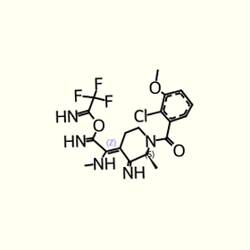 CN/C(C(=N)OC(=N)C(F)(F)F)=C1/CCN(C(=O)c2cccc(OC)c2Cl)[C@@H](C)C1=N